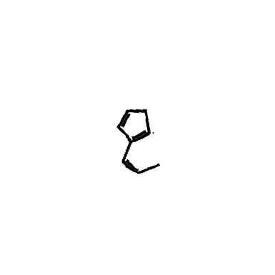 C/C=C\C1=[C]CC=C1